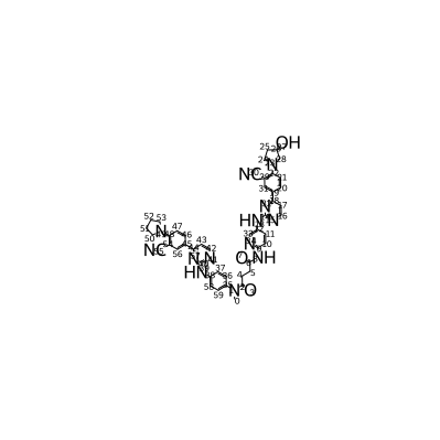 CN(C(=O)CCC(=O)Nc1ccc(Nc2nccc(-c3ccc(N4CCC(O)C4)c(C#N)c3)n2)cn1)c1ccc(Nc2nccc(-c3ccc(N4CCCC4)c(C#N)c3)n2)cc1